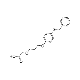 O=C(O)COCCCOc1ccc(SCc2ccccc2)cc1